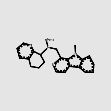 CCCCCN(Cc1nccc2c3ccccc3n(C)c12)C1CCCc2cccnc21